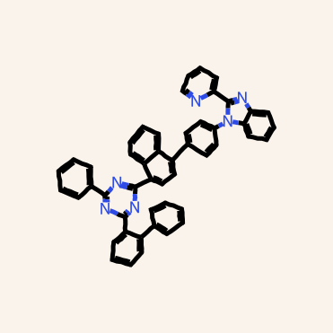 c1ccc(-c2nc(-c3ccccc3-c3ccccc3)nc(-c3ccc(-c4ccc(-n5c(-c6ccccn6)nc6ccccc65)cc4)c4ccccc34)n2)cc1